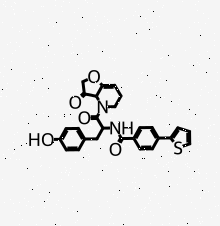 O=C(NC(Cc1ccc(O)cc1)C(=O)N1CCC=C2OCC(=O)C21)c1ccc(-c2cccs2)cc1